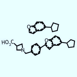 O=C(O)C1CN(Cc2ccc(-c3cc4cc(C5CCCC5)ccc4o3)cc2)C1.c1cc2cc(C3CCCC3)ccc2o1